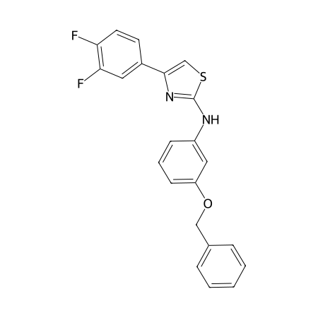 Fc1ccc(-c2csc(Nc3cccc(OCc4ccccc4)c3)n2)cc1F